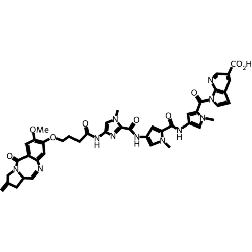 C=C1CC2C=Nc3cc(OCCCC(=O)Nc4cn(C)c(C(=O)Nc5cc(C(=O)Nc6cc(C(=O)n7ccc8cc(C(=O)O)cnc87)n(C)c6)n(C)c5)n4)c(OC)cc3C(=O)N2C1